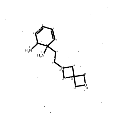 NC1C=CC=CC1(N)CCN1CC2(COC2)C1